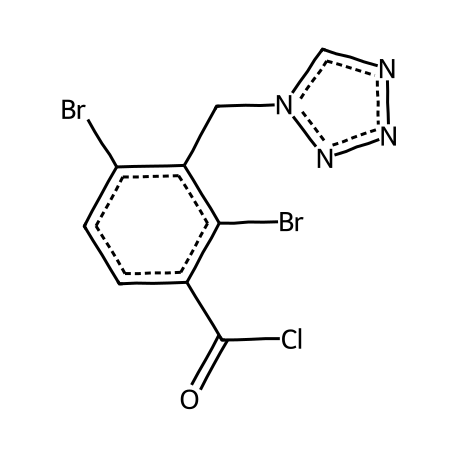 O=C(Cl)c1ccc(Br)c(Cn2cnnn2)c1Br